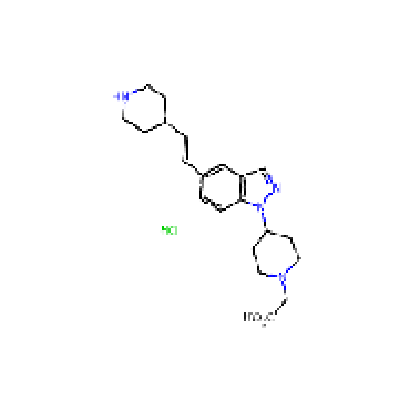 Cl.O=C(O)CN1CCC(n2ncc3cc(C=CC4CCNCC4)ccc32)CC1